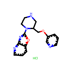 Cl.c1cncc(OCC2CNCCN2c2nc3ncccc3o2)c1